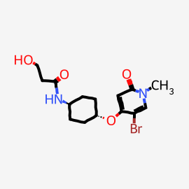 Cn1cc(Br)c(O[C@H]2CC[C@H](NC(=O)CCO)CC2)cc1=O